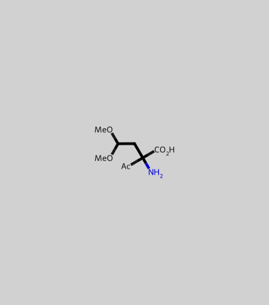 COC(CC(N)(C(C)=O)C(=O)O)OC